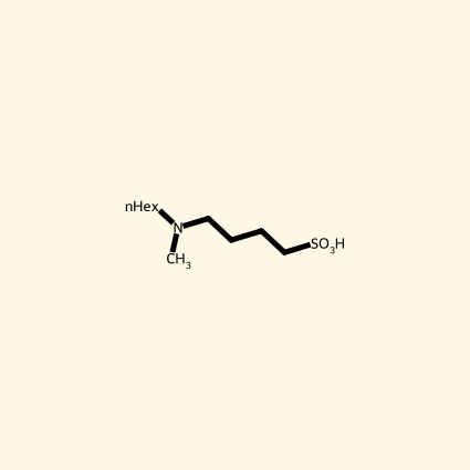 CCCCCCN(C)CCCCS(=O)(=O)O